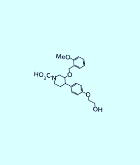 COc1ccccc1COC1CN(C(=O)O)CCC1c1ccc(OCCO)cc1